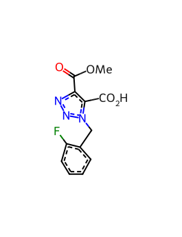 COC(=O)c1nnn(Cc2ccccc2F)c1C(=O)O